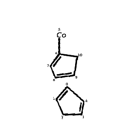 C1=CCC=C1.[Co][C]1=CC=CC1